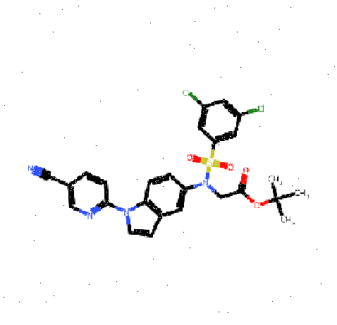 CC(C)(C)OC(=O)CN(c1ccc2c(ccn2-c2ccc(C#N)cn2)c1)S(=O)(=O)c1cc(Cl)cc(Cl)c1